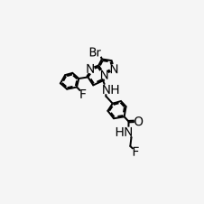 O=C(NCCF)c1ccc(CNc2cc(-c3ccccc3F)nc3c(Br)cnn23)cc1